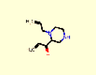 C=CCN1CCNCC1C(=O)C=C